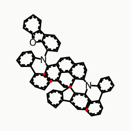 c1ccc(-c2ccccc2N(c2cccc3c2Cc2ccccc2-3)c2ccc3ccc4c(N(c5ccccc5-c5ccccc5)c5cccc6c5oc5ccccc56)ccc5ccc2c3c54)cc1